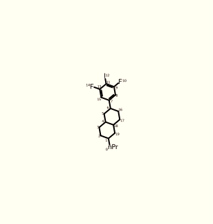 CCCC1CCC2CC(c3cc(F)c(I)c(F)c3)CCC2C1